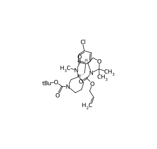 C=CCOC(=O)N1[C@H](C(=O)N(C)[C@@]2(Cc3ccc(Cl)cc3)CCCN(C(=O)OC(C)(C)C)C2)COC1(C)C